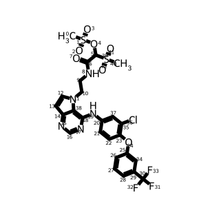 CS(=O)(=O)OC(C(=O)NCCn1ccc2ncnc(Nc3ccc(Oc4cccc(C(F)(F)F)c4)c(Cl)c3)c21)S(C)(=O)=O